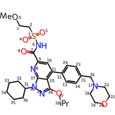 COCCS(=O)(=O)NC(=O)c1cc(-c2ccc(CN3CCOCC3)cc2)c2c(OC(C)C)nn(C3CCCCC3)c2n1